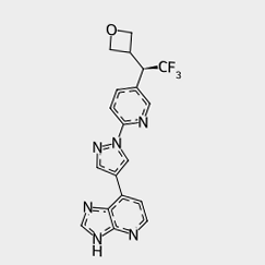 FC(F)(F)[C@@H](c1ccc(-n2cc(-c3ccnc4[nH]cnc34)cn2)nc1)C1COC1